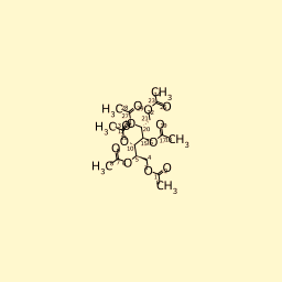 CC(=O)OC[C@@H](OC(C)=O)[C@H](OC(C)=O)[C@H](OC(C)=O)[C@@H](COC(C)=O)OC(C)=O